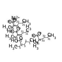 CCCCC(CC)C(=O)O.CCCCC(CC)C(=O)O.CCCCC(CC)C(=O)[O-].CCCCC(CC)C(=O)[O-].[Ni+2]